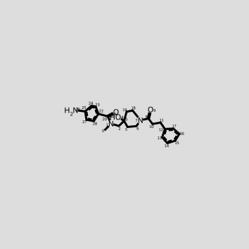 CN(CC1(O)CCN(C(=O)CCc2ccccc2)CC1)C(=O)c1ccc(N)cc1